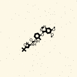 COc1cc2ncnc(Oc3cccc(NC(=O)Nc4cc(C(C)(C)C)on4)c3C)c2cc1OC